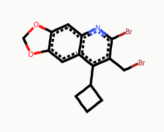 BrCc1c(Br)nc2cc3c(cc2c1C1CCC1)OCO3